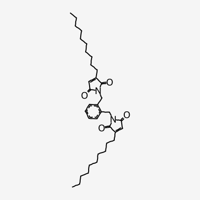 CCCCCCCCCCC1=CC(=O)N(Cc2ccccc2CN2C(=O)C=C(CCCCCCCCCC)C2=O)C1=O